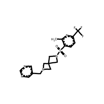 Cc1nc(C(F)(F)F)ccc1S(=O)(=O)N1CC2(CN(Cc3cncnc3)C2)C1